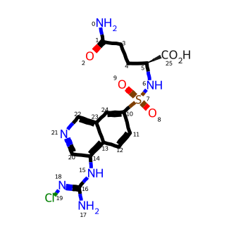 NC(=O)CC[C@H](NS(=O)(=O)c1ccc2c(NC(N)=NCl)cncc2c1)C(=O)O